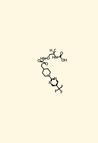 CC(CONS(=O)(=O)CC1CCN(c2ncc(C(F)(F)F)cn2)CC1)NC(=O)O